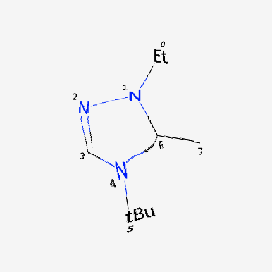 CCN1N=CN(C(C)(C)C)C1C